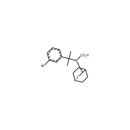 CC(C)(c1cccc(Br)c1)N(C(=O)O)C1CN2CCC1CC2